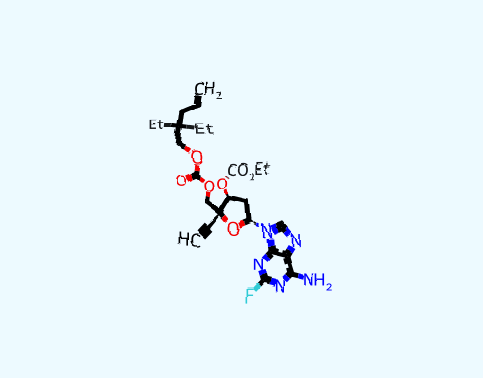 C#C[C@]1(COC(=O)OCC(CC)(CC)CC=C)O[C@@H](n2cnc3c(N)nc(F)nc32)C[C@@H]1OC(=O)OCC